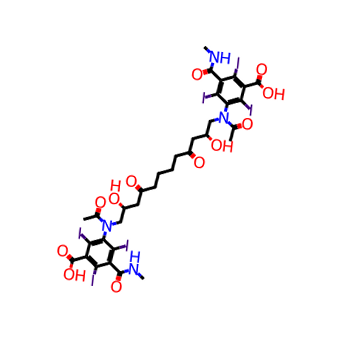 CNC(=O)c1c(I)c(C(=O)O)c(I)c(N(CC(O)CC(=O)CCCCC(=O)CC(O)CN(C(C)=O)c2c(I)c(C(=O)O)c(I)c(C(=O)NC)c2I)C(C)=O)c1I